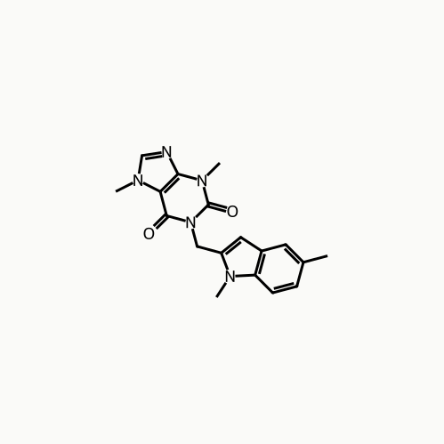 Cc1ccc2c(c1)cc(Cn1c(=O)c3c(ncn3C)n(C)c1=O)n2C